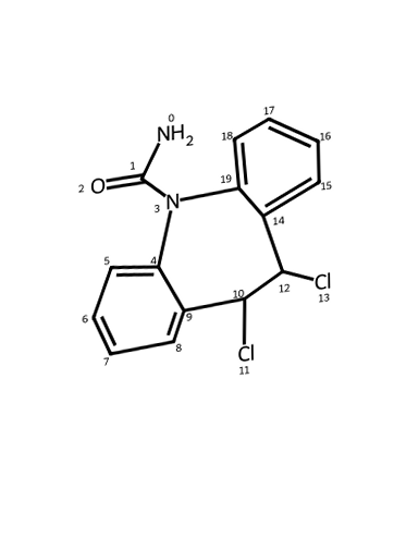 NC(=O)N1c2ccccc2C(Cl)C(Cl)c2ccccc21